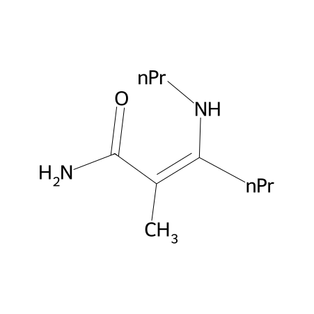 CCCNC(CCC)=C(C)C(N)=O